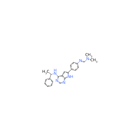 CC(Nc1ncnc2[nH]c(-c3ccc(N=CN(C)C)cc3)cc12)c1ccccc1